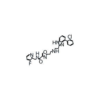 O=C(NCc1ncccc1F)c1coc(CCNCCc2nc3c(-c4ccccc4Cl)cccc3[nH]2)n1